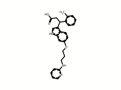 Cc1ccccc1C(CC(=O)O)c1c[nH]c2cc(OCCCNc3ccccn3)ccc12